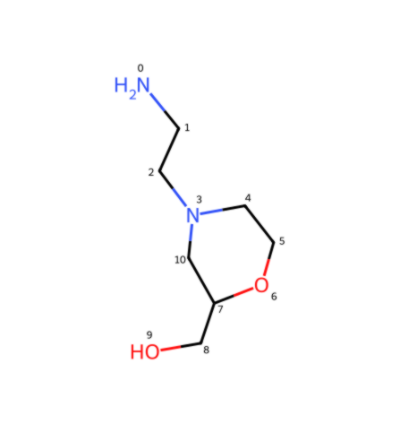 NCCN1CCOC(CO)C1